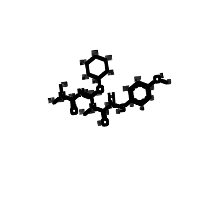 COc1ccc(SNC(=O)N(C)C(=NC(=O)N(C)C)OC2CCCCC2)cc1